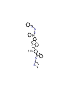 C=C\C=C/C(C=C)=C/C=C/N(c1ccc(C(=C)c2cccc3c2C(=C)Oc2cc(N(/C=C/C=C\C=C\c4ccccc4)c4ccccc4)ccc2-3)c(O)c1)c1ccccn1